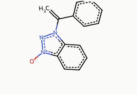 C=C(c1ccccc1)n1n[n+]([O-])c2ccccc21